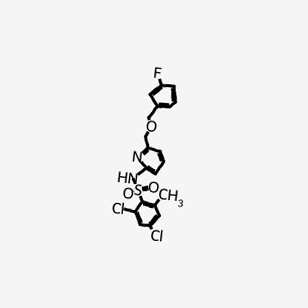 Cc1cc(Cl)cc(Cl)c1S(=O)(=O)Nc1cccc(COCc2cccc(F)c2)n1